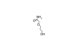 NC(=O)COCCCO